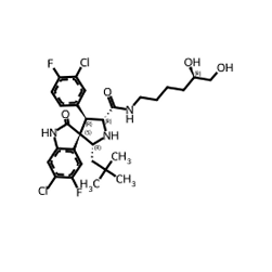 CC(C)(C)C[C@H]1N[C@@H](C(=O)NCCCC[C@@H](O)CO)[C@H](c2ccc(F)c(Cl)c2)[C@@]12C(=O)Nc1cc(Cl)c(F)cc12